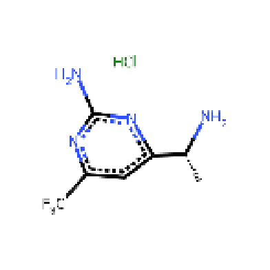 C[C@@H](N)c1cc(C(F)(F)F)nc(N)n1.Cl